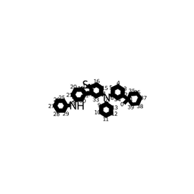 CC1(c2cccc(N(c3ccccc3)c3ccc4sc5ccc(Nc6ccccc6)cc5c4c3)c2)C=CC=CC1